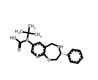 CC(C)(C)N(C(=O)O)c1cnc2c(c1)CN[C@H](c1ccccc1)CO2